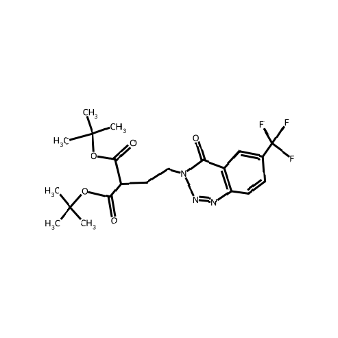 CC(C)(C)OC(=O)C(CCn1nnc2ccc(C(F)(F)F)cc2c1=O)C(=O)OC(C)(C)C